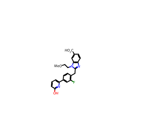 COCCn1c(Cc2ccc(-c3cccc(O)n3)cc2F)nc2ccc(C(=O)O)cc21